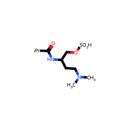 CC(C)C(=O)NC(CCN(C)C)COS(=O)(=O)O